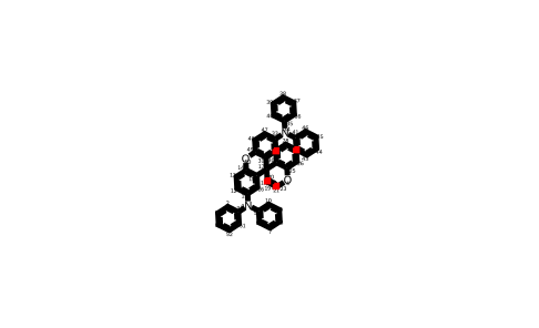 c1ccc(N(c2ccccc2)c2ccc3c(c2)C2(c4ccccc4Oc4ccccc42)c2cc(N(c4ccccc4)c4ccccc4)ccc2O3)cc1